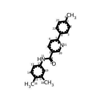 Cc1ccc(-c2ccc(C(=O)Nc3ccc(C)c(C)c3)cn2)cc1